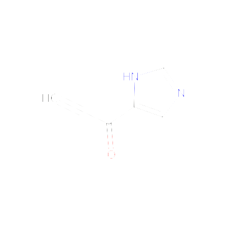 C#CC(=O)c1cnc[nH]1